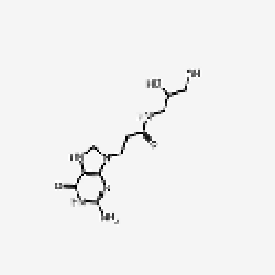 Nc1nc2c(c(=O)[nH]1)NCN2CCC(=O)NCC(O)CO